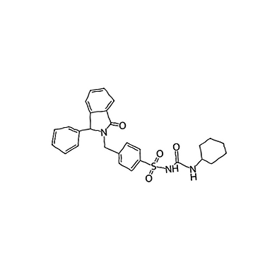 O=C(NC1CCCCC1)NS(=O)(=O)c1ccc(CN2C(=O)c3ccccc3C2c2ccccc2)cc1